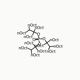 CCCCCCCCC(CCCCCCCC)C(CCCCCCCC)(CCCCCCCC)OP(=O)(OC(CCCCCCCC)(CCCCCCCC)C(CCCCCCCC)CCCCCCCC)OC(CCCCCCCC)(CCCCCCCC)C(CCCCCCCC)CCCCCCCC